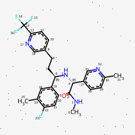 CNC(=O)[C@H](N[C@H](CCc1ccc(C(F)(F)F)nc1)c1ccc(F)c(C)c1)c1ccc(C)nc1